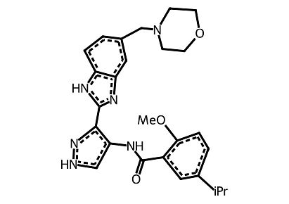 COc1ccc(C(C)C)cc1C(=O)Nc1c[nH]nc1-c1nc2cc(CN3CCOCC3)ccc2[nH]1